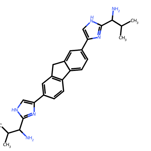 CC(C)C(N)c1nc(-c2ccc3c(c2)Cc2cc(-c4c[nH]c(C(N)C(C)C)n4)ccc2-3)c[nH]1